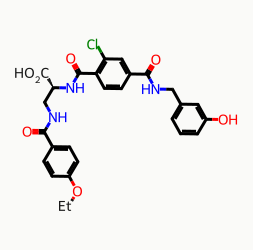 CCOc1ccc(C(=O)NC[C@H](NC(=O)c2ccc(C(=O)NCc3cccc(O)c3)cc2Cl)C(=O)O)cc1